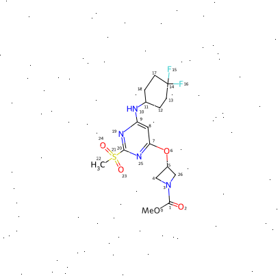 COC(=O)N1CC(Oc2cc(NC3CCC(F)(F)CC3)nc(S(C)(=O)=O)n2)C1